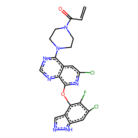 C=CC(=O)N1CCN(c2ncnc3c(Oc4c(F)c(Cl)cc5[nH]ncc45)nc(Cl)cc23)CC1